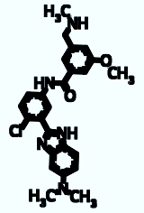 CNCc1cc(OC)cc(C(=O)Nc2ccc(Cl)c(-c3nc4cc(N(C)C)ccc4[nH]3)c2)c1